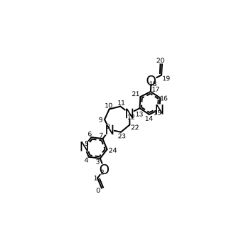 C=COc1cncc(N2CCCN(c3cncc(OC=C)c3)CC2)c1